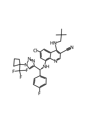 CC(C)(C)CNc1c(C#N)cnc2c(N[C@@H](c3ccc(F)cc3)c3cn(C4(C(F)(F)F)CCC4)nn3)cc(Cl)cc12